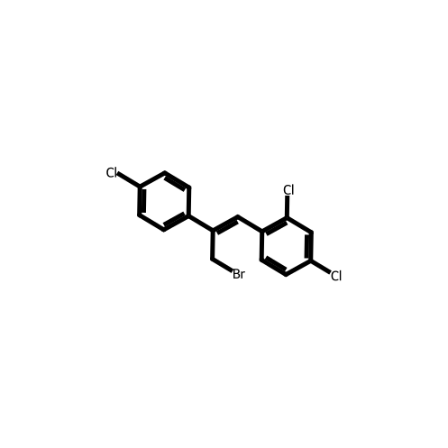 Clc1ccc(/C(=C/c2ccc(Cl)cc2Cl)CBr)cc1